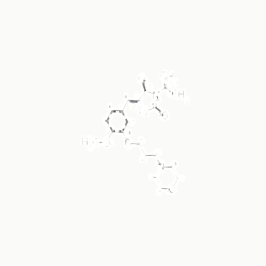 COc1ccc(/C=C2\SC(=O)N(C(C)C)C2=O)cc1OCCCN1CCOCC1